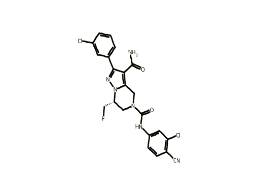 N#Cc1ccc(NC(=O)N2Cc3c(C(N)=O)c(-c4cccc(Cl)c4)nn3[C@@H](CF)C2)cc1Cl